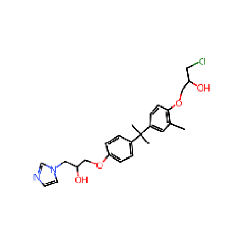 Cc1cc(C(C)(C)c2ccc(OCC(O)Cn3ccnc3)cc2)ccc1OCC(O)CCl